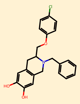 Oc1cc2c(cc1O)CN(Cc1ccccc1)C(COc1ccc(Cl)cc1)C2